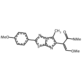 CNC(=O)C(=COC)c1nc2sc(-c3ccc(OC)cc3)nn2c1C